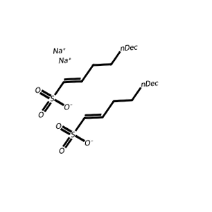 CCCCCCCCCCCCC=CS(=O)(=O)[O-].CCCCCCCCCCCCC=CS(=O)(=O)[O-].[Na+].[Na+]